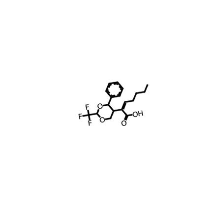 CCCCC=C(C(=O)O)C1COC(C(F)(F)F)OC1c1ccccc1